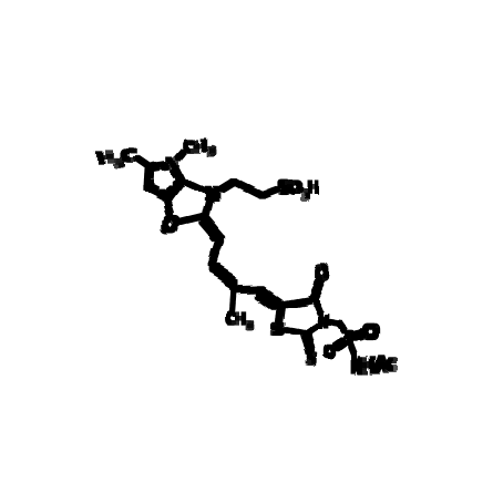 CC(=O)NS(=O)(=O)CN1C(=O)C(=CC(C)=CC=C2Oc3cc(C)n(C)c3N2CCS(=O)(=O)O)SC1=S